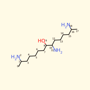 CC(N)CCCCCC(O)C(N)CCCCC(C)N